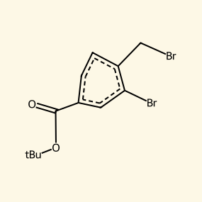 CC(C)(C)OC(=O)c1ccc(CBr)c(Br)c1